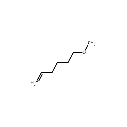 [CH2]OCCCCC=C